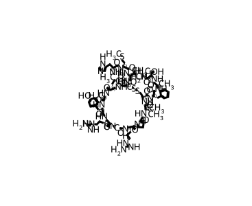 CSCC[C@H](NC(=O)[C@@H](N)Cc1cnc[nH]1)C(=O)N[C@H](C(=O)N[C@H]1CSSC[C@@H](C(=O)N[C@@H](Cc2ccccc2)C(=O)N[C@@H](C)C(=O)N[C@H](C(N)=O)[C@@H](C)O)NC(=O)[C@H](C(C)C)NC(=O)[C@@H]2CCCN2C(=O)[C@H](CCCNC(=N)N)NC(=O)CNC(=O)[C@H](CCCNC(=N)N)NC(=O)[C@H](Cc2ccc(O)cc2)NC(=O)[C@H](C)NC(=O)[C@H](CC(C)C)NC1=O)C(C)C